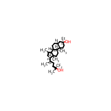 CC[C@]1(O)CC[C@@]2(C)[C@@H](CC[C@H]3[C@@H]4[C@H](C)C[C@H]([C@H](C)CC[C@@](C)(O)C(F)(F)F)[C@@]4(C)CC[C@@H]32)C1